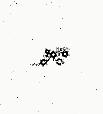 COc1ccc(CN2C(=O)C3(CCC3)c3cc(NS(=O)(=O)c4ccccc4OC)cc(OC4CCNCC4)c32)cc1